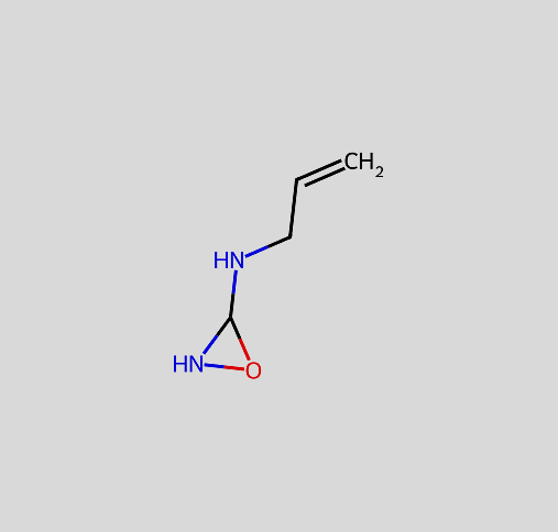 C=CCNC1NO1